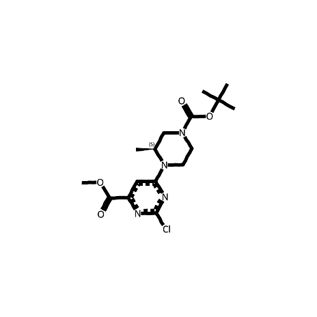 COC(=O)c1cc(N2CCN(C(=O)OC(C)(C)C)C[C@@H]2C)nc(Cl)n1